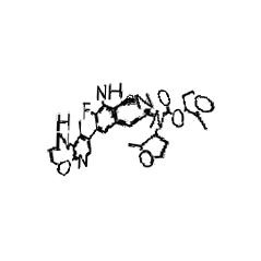 Cc1c(-c2cc3cc(N(C(=O)OC4CCOC4C)C4CCOC4C)ncc3c(N)c2F)cnc2c1NCCO2